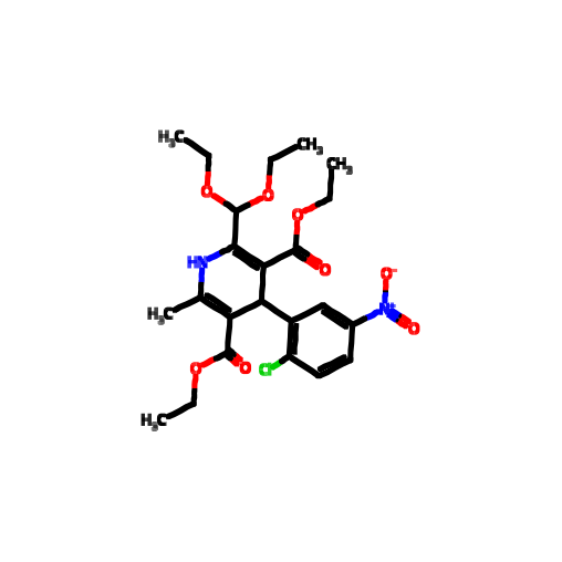 CCOC(=O)C1=C(C)NC(C(OCC)OCC)=C(C(=O)OCC)C1c1cc([N+](=O)[O-])ccc1Cl